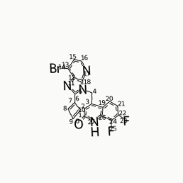 O=c1cc(Cn2c(C3=CC=C3)nc3c(Br)ccnc32)c2ccc(F)c(F)c2[nH]1